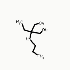 CCCNC(CC)(CO)CO